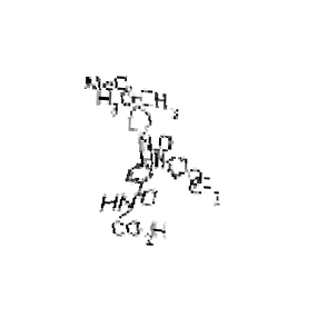 COCC(C)(C)C1CCC(N(Cc2ccc(C(=O)NCCC(=O)O)cc2)C(=O)Nc2ccc(OC(F)(F)F)cc2)CC1